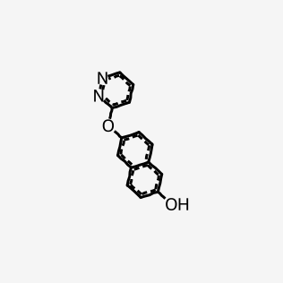 Oc1ccc2cc(Oc3cccnn3)ccc2c1